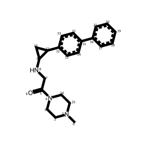 CN1CCN(C(=O)CNC2CC2c2ccc(-c3ccccc3)cc2)CC1